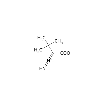 CC(C)(C)C(=[N+]=N)C(=O)[O-]